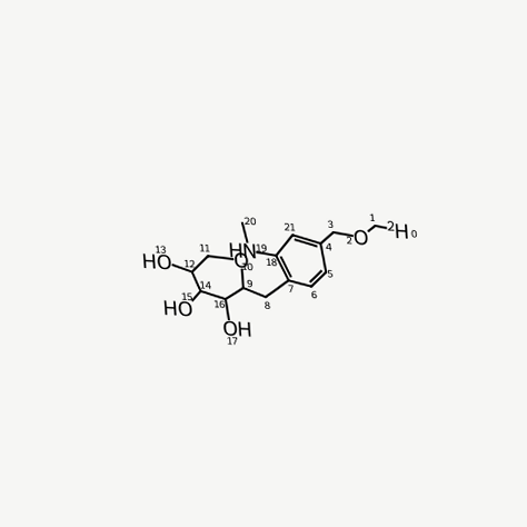 [2H]COCc1ccc(CC2OCC(O)C(O)C2O)c(NC)c1